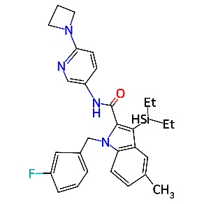 CC[SiH](CC)c1c(C(=O)Nc2ccc(N3CCC3)nc2)n(Cc2cccc(F)c2)c2ccc(C)cc12